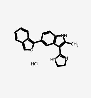 Cc1[nH]c2ccc(-c3occ4ccccc34)cc2c1C1=NCCN1.Cl